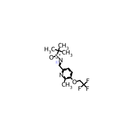 Cc1nc(/C=N/[S+]([O-])C(C)(C)C)ccc1OCC(F)(F)F